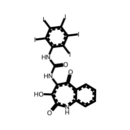 O=C(Nc1c(I)c(I)c(I)c(I)c1I)Nc1c(O)c(=O)[nH]c2ccccc2c1=O